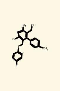 Cc1ccc(-c2c(CO)c(C(C)C)cc(C(C)C)c2CSc2ccc(F)cc2)cc1